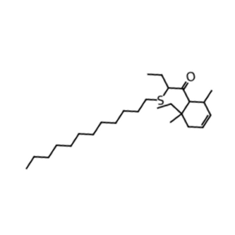 CCCCCCCCCCCCSC(CC)C(=O)C1C(C)C=CCC1(C)CC